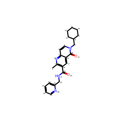 Cc1nc2ccn(CC3CCCCC3)c(=O)c2cc1C(=O)NCc1ccccn1